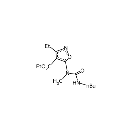 CCCCNC(=O)N(C)c1onc(CC)c1C(=O)OCC